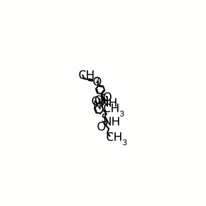 CCC#COc1ccc(S(=O)(=O)NC2N(O)C=CCC2(C)CSNC(=O)CCC)cc1